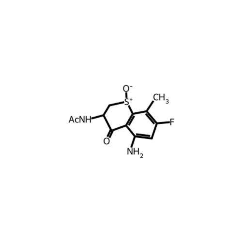 CC(=O)NC1C[S+]([O-])c2c(C)c(F)cc(N)c2C1=O